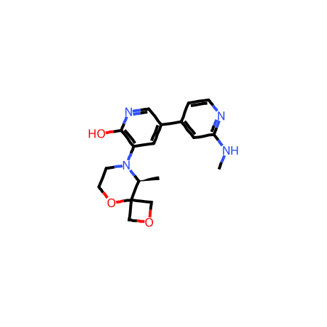 CNc1cc(-c2cnc(O)c(N3CCOC4(COC4)[C@@H]3C)c2)ccn1